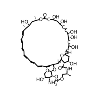 COC[C@H](C)NC(=O)[C@H]1[C@@H]2CC(O[C@@H]3OC[C@@H](O)[C@H](N)[C@@H]3O)/C=C/C=C/C=C/C=C/C=C/C=C/C=C/[C@H](C)[C@@H](O)C[C@H](C)OC(=O)CC(O)CC(O)CC[C@@H](O)[C@H](O)CC(O)CC(O)(C[C@@H]1O)O2